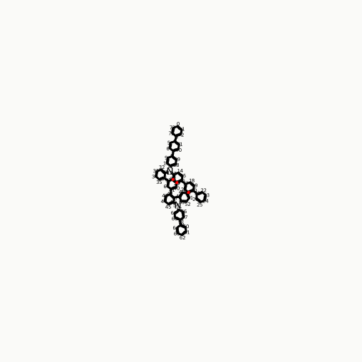 c1ccc(-c2ccc(-c3ccc(N(c4ccc(-c5ccc(-c6ccccc6)cc5)cc4)c4ccccc4-c4cccc(-c5cccc6c5c5ccccc5n6-c5ccc(-c6ccccc6)cc5)c4)cc3)cc2)cc1